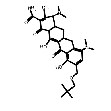 CN(C)c1cc(COCC(C)(C)C)c(O)c2c1CC1CC3C(C(=O)C(C(N)=O)=C(O)[C@H]3N(C)C)C(O)=C1C2=O